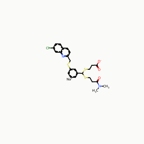 CN(C)C(=O)CCSC(SCCC(=O)[O-])c1cccc(SCc2ccc3ccc(Cl)cc3n2)c1.[Na+]